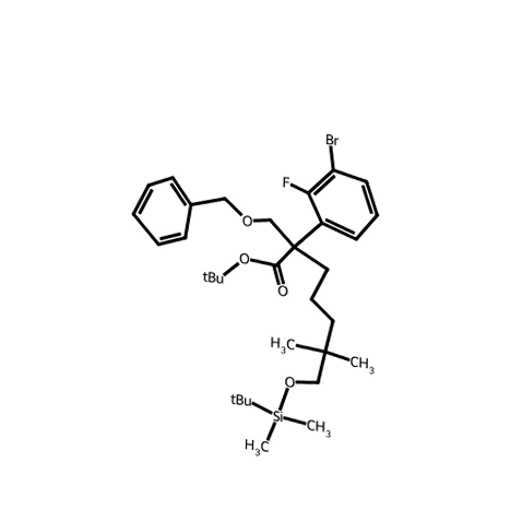 CC(C)(CCCC(COCc1ccccc1)(C(=O)OC(C)(C)C)c1cccc(Br)c1F)CO[Si](C)(C)C(C)(C)C